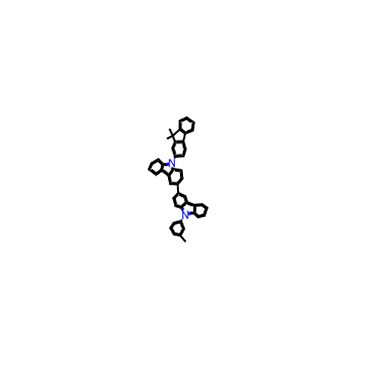 Cc1cccc(-n2c3ccccc3c3cc(-c4ccc5c(c4)c4ccccc4n5-c4ccc5c(c4)C(C)(C)c4ccccc4-5)ccc32)c1